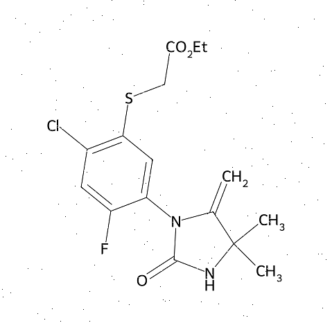 C=C1N(c2cc(SCC(=O)OCC)c(Cl)cc2F)C(=O)NC1(C)C